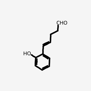 O=CCCC=Cc1ccccc1O